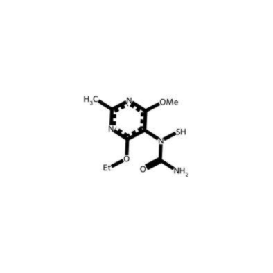 CCOc1nc(C)nc(OC)c1N(S)C(N)=O